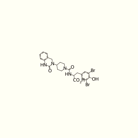 O=C(O)C(Cc1cc(Br)c(O)c(Br)c1)NC(=O)N1CCC(N2Cc3ccccc3NC2=O)CC1